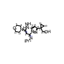 CC(C)/N=C(\C=C(/NN)N1CCOCC1)n1ccc(C2(CO)CC2)n1